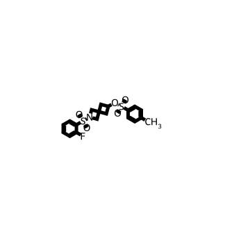 Cc1ccc(S(=O)(=O)OC2CC3(C2)CN(S(=O)(=O)c2ccccc2F)C3)cc1